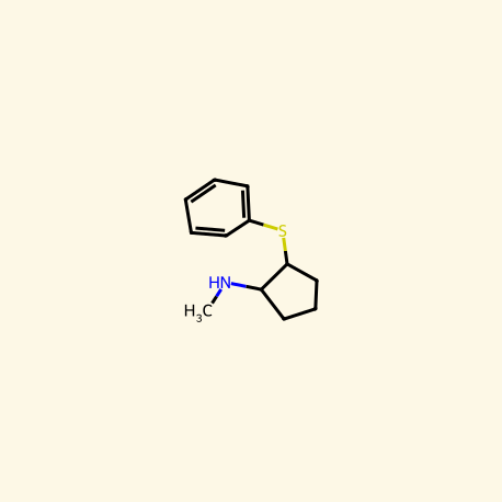 CNC1CCCC1Sc1ccccc1